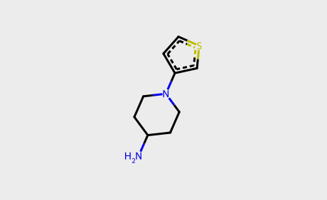 NC1CCN(c2ccsc2)CC1